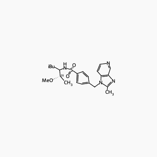 CCC(C)C(NS(=O)(=O)c1ccc(Cn2c(C)nc3cnccc32)cc1)[C@H](C)OC